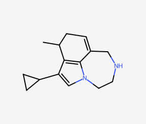 CC1CC=C2CNCCn3cc(C4CC4)c1c32